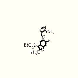 CCOC(=O)c1c(C)oc2cc(F)c(OCc3scnc3C)cc12